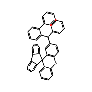 c1ccc(-c2ccccc2N(c2ccccc2)c2ccc3c(c2)C2(c4ccccc4O3)c3ccccc3-c3ccccc32)cc1